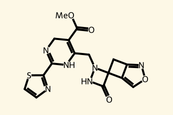 COC(=O)C1=C(CN2NC(=O)C23Cc2nocc23)NC(c2nccs2)=NC1